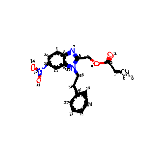 CCC(=O)OCc1nc2ccc([N+](=O)[O-])cc2n1CCc1ccccc1